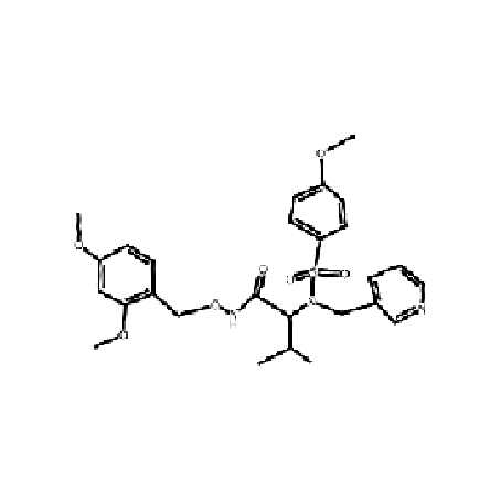 COc1ccc(S(=O)(=O)N(Cc2cccnc2)C(C(=O)NOCc2ccc(OC)cc2OC)C(C)C)cc1